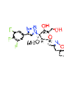 CO[C@@H]1[C@@H](n2cc(-c3cc(F)c(F)c(F)c3)nn2)[C@@H](O)[C@@H](CO)O[C@@H]1CC1=NOC2(CCC2)C1